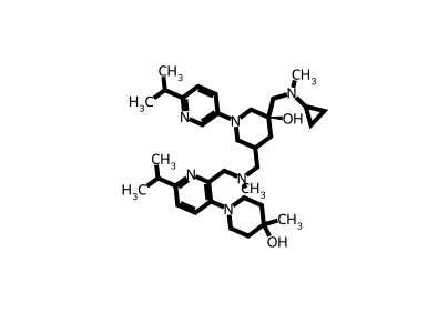 CC(C)c1ccc(N2CC(CN(C)Cc3nc(C(C)C)ccc3N3CCC(C)(O)CC3)C[C@@](O)(CN(C)C3CC3)C2)cn1